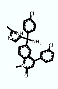 Cc1ncc(C(N)(c2ccc(Cl)cc2)c2ccc3c(c2)c(-c2cccc(Cl)c2)cc(=O)n3C)[nH]1